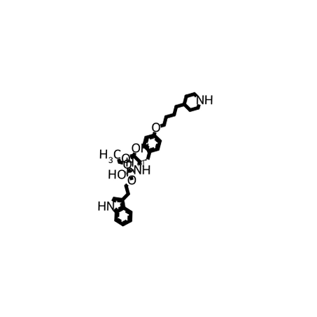 CCO[PH](O)(N[C@@H](Cc1ccc(OCCCCC2CCNCC2)cc1)C(=O)O)OCCc1c[nH]c2ccccc12